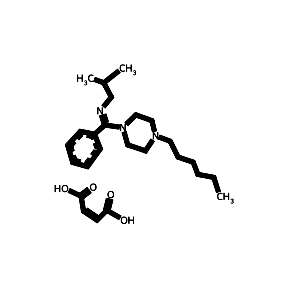 CCCCCCN1CCN(/C(=N\CC(C)C)c2ccccc2)CC1.O=C(O)/C=C\C(=O)O